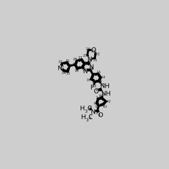 CN(C)C(=O)c1ccc(NC(=O)Nc2ccc(-c3nc(N4CCOCC4)c4ccc(-c5ccncc5)cc4n3)cc2F)cc1